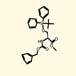 COC(=O)[C@H](CO[Si](c1ccccc1)(c1ccccc1)C(C)(C)C)NC(=O)OCc1ccccc1